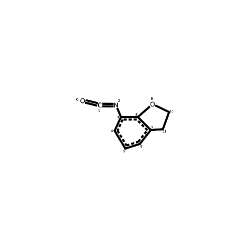 O=C=Nc1cccc2c1OCC2